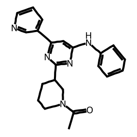 CC(=O)N1CCCC(c2nc(Nc3ccccc3)cc(-c3cccnc3)n2)C1